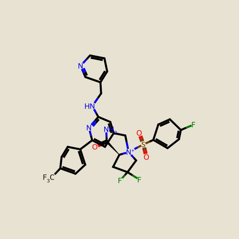 NC(=O)[C@@H]1CC(F)(F)C[N+]1(Cc1cc(NCc2cccnc2)nc(-c2ccc(C(F)(F)F)cc2)c1)S(=O)(=O)c1ccc(F)cc1